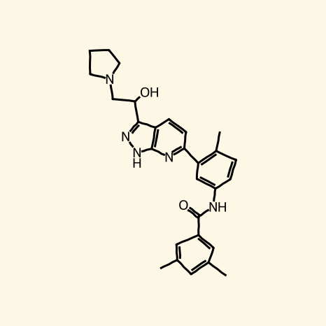 Cc1cc(C)cc(C(=O)Nc2ccc(C)c(-c3ccc4c(C(O)CN5CCCC5)n[nH]c4n3)c2)c1